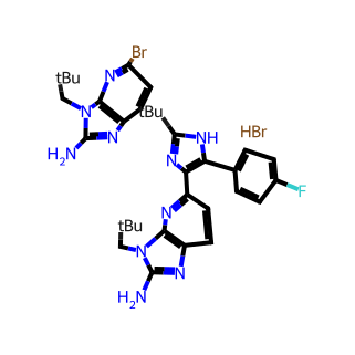 Br.CC(C)(C)Cn1c(N)nc2ccc(-c3nc(C(C)(C)C)[nH]c3-c3ccc(F)cc3)nc21.CC(C)(C)Cn1c(N)nc2ccc(Br)nc21